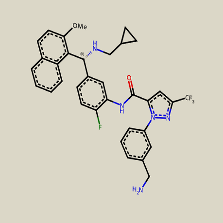 COc1ccc2ccccc2c1[C@H](NCC1CC1)c1ccc(F)c(NC(=O)c2cc(C(F)(F)F)nn2-c2cccc(CN)c2)c1